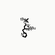 CC(C)(C)[S@+]([O-])NC(CCO[Si](C)(C)C(C)(C)C)Cc1ccccn1